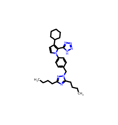 CCCCc1nc(CCCC)n(Cc2ccc(-n3ccc(C4CCCCC4)c3-c3nnn[nH]3)cc2)n1